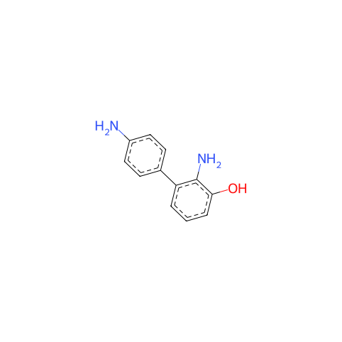 Nc1ccc(-c2cccc(O)c2N)cc1